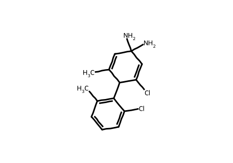 CC1=CC(N)(N)C=C(Cl)C1c1c(C)cccc1Cl